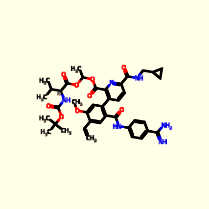 C=Cc1cc(C(=O)Nc2ccc(C(=N)N)cc2)c(-c2ccc(C(=O)NCC3CC3)nc2C(=O)OC(C)OC(=O)[C@@H](NC(=O)OC(C)(C)C)C(C)C)cc1OC